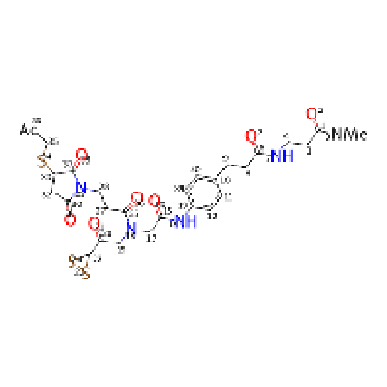 CNC(=O)CCNC(=O)CCc1ccc(NC(=O)CN(CC(=O)C2SS2)C(=O)CCN2C(=O)CC(SCC(C)=O)C2=O)cc1